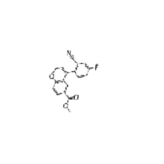 COC(=O)c1ccc2c(c1)C(c1ccc(F)cc1C#N)=CCO2